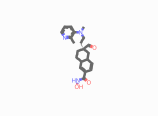 Cc1ncccc1N(C)CC[C@@]1(C=O)CCC2C=C(C(=O)NO)C=CC2C1